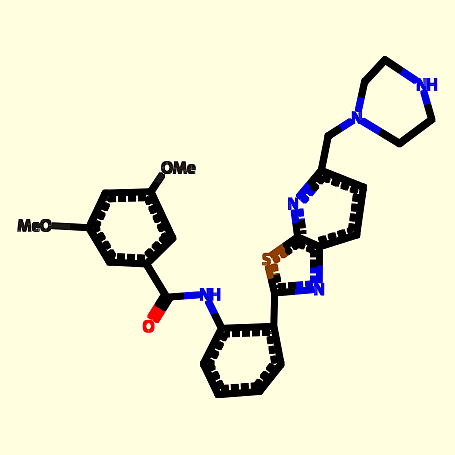 COc1cc(OC)cc(C(=O)Nc2ccccc2-c2nc3ccc(CN4CCNCC4)nc3s2)c1